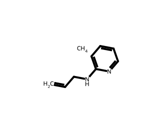 C.C=CCNc1ccccn1